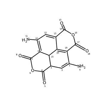 NC1=CC2C(=O)OC(=O)C3=C(N)C=C4C(=O)OC(=O)C1=C4C32